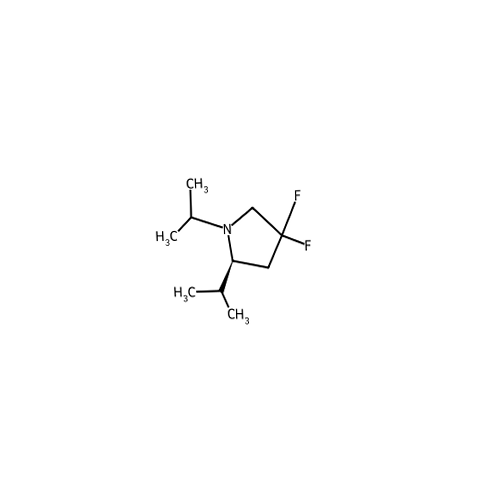 CC(C)[C@@H]1CC(F)(F)CN1C(C)C